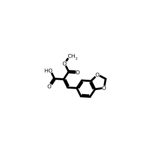 COC(=O)C(=Cc1ccc2c(c1)OCO2)C(=O)O